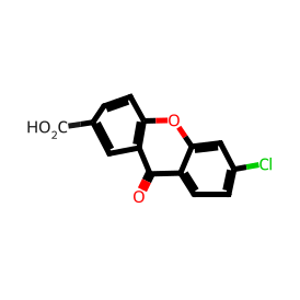 O=C(O)c1ccc2oc3cc(Cl)ccc3c(=O)c2c1